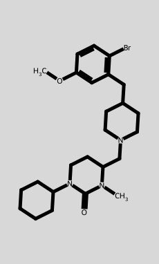 COc1ccc(Br)c(CC2CCN(CC3CCN(C4CCCCC4)C(=O)N3C)CC2)c1